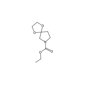 CCOC(=O)N1CCC2(C1)OCCO2